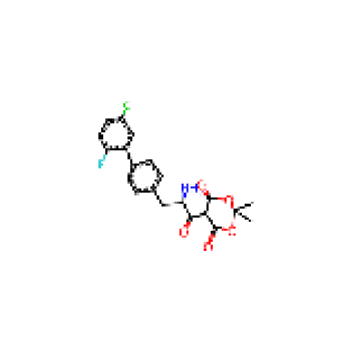 CC1(C)OC(=O)C(C(=O)[C@H](N)Cc2ccc(-c3cc(Cl)ccc3F)cc2)C(=O)O1